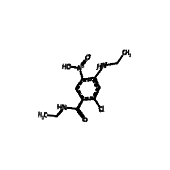 CCNC(=O)c1cc([N+](=O)O)c(NCC)cc1Cl